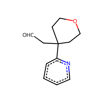 O=CCC1(c2ccccn2)CCOCC1